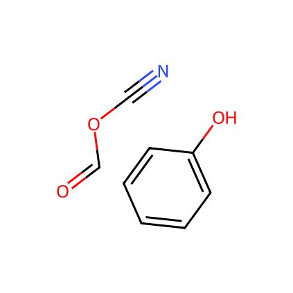 N#COC=O.Oc1ccccc1